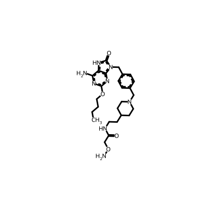 CCCCOc1nc(N)c2[nH]c(=O)n(Cc3ccc(CN4CCC(CCNC(=O)CON)CC4)cc3)c2n1